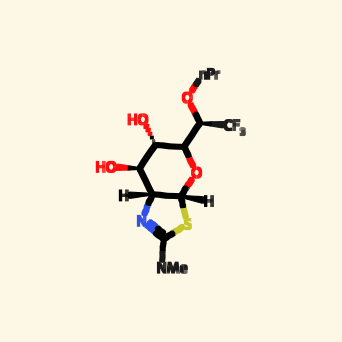 CCCO[C@H](C1O[C@@H]2SC(NC)=N[C@@H]2[C@@H](O)[C@@H]1O)C(F)(F)F